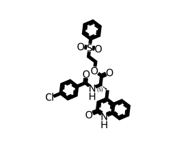 O=C(N[C@@H](Cc1cc(=O)[nH]c2ccccc12)C(=O)OCCS(=O)(=O)c1ccccc1)c1ccc(Cl)cc1